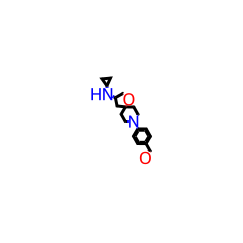 O=Cc1ccc(N2CCC3(CC2)CC(NC2CC2)CO3)cc1